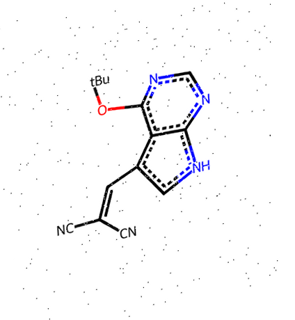 CC(C)(C)Oc1ncnc2[nH]cc(C=C(C#N)C#N)c12